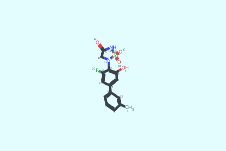 Cc1cccc(-c2cc(O)c(N3CC(=O)NS3(=O)=O)c(F)c2)c1